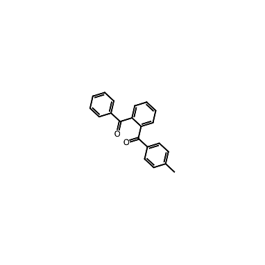 Cc1ccc(C(=O)c2ccccc2C(=O)c2ccccc2)cc1